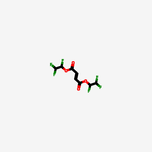 O=C(/C=C/C(=O)OC(F)C(F)F)OC(F)C(F)F